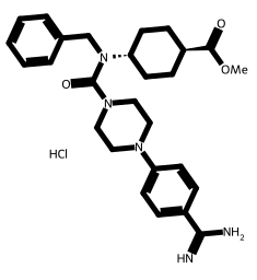 COC(=O)[C@H]1CC[C@H](N(Cc2ccccc2)C(=O)N2CCN(c3ccc(C(=N)N)cc3)CC2)CC1.Cl